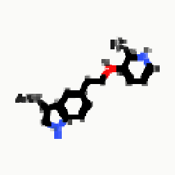 CC(=O)Nc1c[nH]c2ccc(CCOc3cccnc3C(F)(F)F)cc12